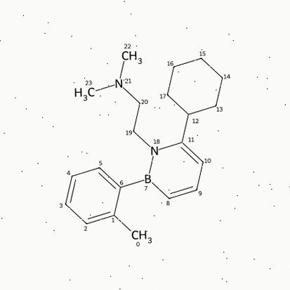 Cc1ccccc1B1C=CC=C(C2CCCCC2)N1CCN(C)C